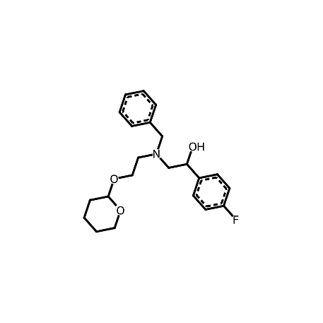 OC(CN(CCOC1CCCCO1)Cc1ccccc1)c1ccc(F)cc1